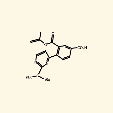 C=C(C)OC(=O)c1cc(C(=O)O)ccc1-c1ccnc(N(CCCC)CCCC)n1